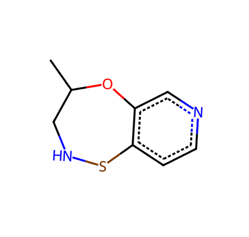 CC1CNSc2ccncc2O1